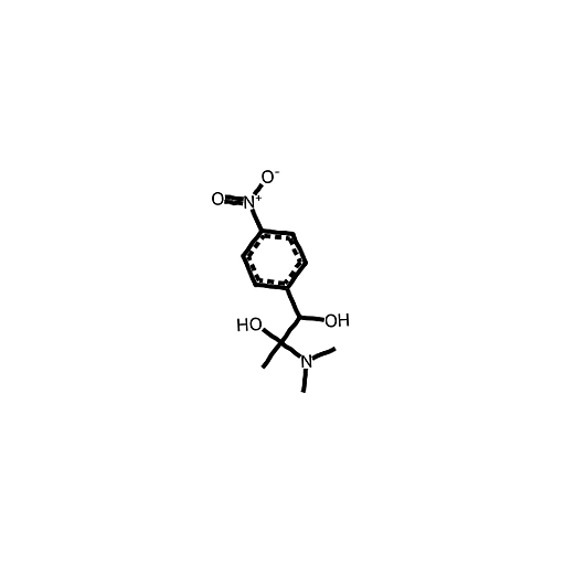 CN(C)C(C)(O)C(O)c1ccc([N+](=O)[O-])cc1